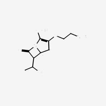 CC(=O)NCCSC1=C(C(=O)O)N2C(=O)C(C(C)O)C2C1